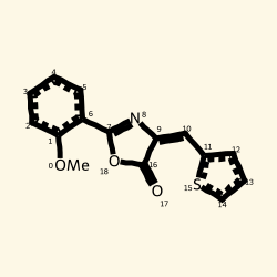 COc1ccccc1C1=NC(=Cc2cccs2)C(=O)O1